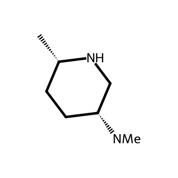 CN[C@@H]1CC[C@H](C)NC1